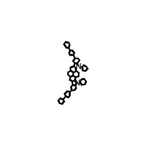 C1=C(c2ccc(-c3ccccc3)cc2)CCc2c1c1cc3c4c(c1n2-c1ccccc1)CCc1c-4c(cc2c4cc(-c5ccc(-c6ccccc6)cc5)ccc4n(-c4ccccc4)c12)CC3